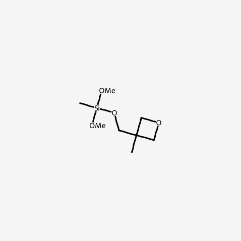 CO[Si](C)(OC)OCC1(C)COC1